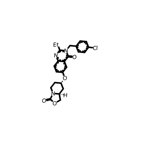 CCc1nc2ccc(O[C@H]3CCN4C(=O)OC[C@@H]4C3)cc2c(=O)n1Cc1ccc(Cl)cc1